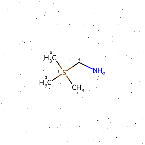 CS(C)(C)CN